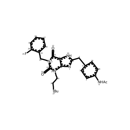 CC(=O)Nc1ccc(Cc2nc3c([nH]2)c(=O)n(Cc2ccccc2F)c(=O)n3CCC(C)(C)C)cc1